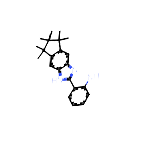 CC1(C)c2cc3nc(-c4ccccc4N)[nH]c3cc2C(C)(C)C1(C)C